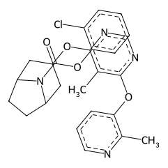 Cc1ncccc1Oc1ncnc(OC2CC3CCC(C2)N3C(=O)Oc2ccccc2Cl)c1C